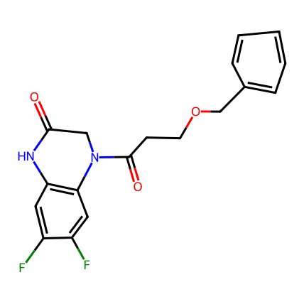 O=C1CN(C(=O)CCOCc2ccccc2)c2cc(F)c(F)cc2N1